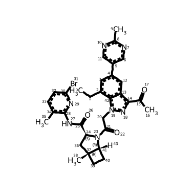 CCc1cc(-c2cnc(C)nc2)cc2c(C(C)=O)nn(CC(=O)N3[C@H](C(=O)Nc4nc(Br)ccc4C)C[C@@]4(C)CC[C@@H]34)c12